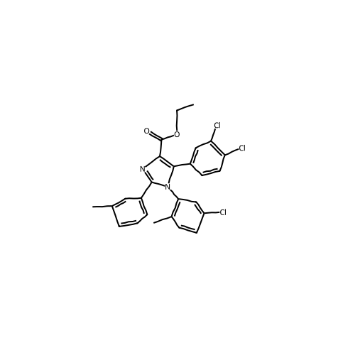 CCOC(=O)c1nc(-c2cccc(C)c2)n(-c2cc(Cl)ccc2C)c1-c1ccc(Cl)c(Cl)c1